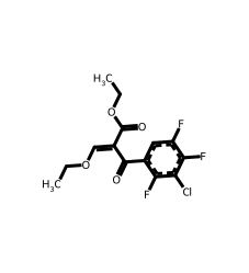 CCO/C=C(/C(=O)OCC)C(=O)c1cc(F)c(F)c(Cl)c1F